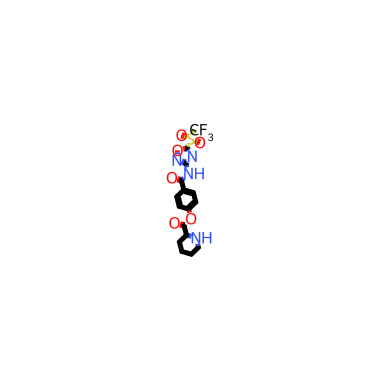 O=C(Nc1noc(S(=O)(=O)C(F)(F)F)n1)c1ccc(OC(=O)C2CCCCN2)cc1